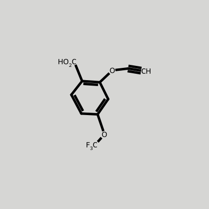 C#COc1cc(OC(F)(F)F)ccc1C(=O)O